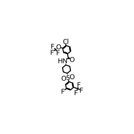 O=C(N[C@H]1CC[C@@H](S(=O)(=O)c2cc(F)cc(C(F)(F)F)c2)CC1)c1ccc(Cl)c(OC(F)(F)F)c1